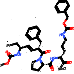 COC(=O)[C@@H](CCCNC(=O)OCc1ccccc1)NC(=O)[C@@H]1CCCN1C(=O)[C@H](/C=C/[C@H](CC(C)C)NC(=O)OC(C)(C)C)Cc1ccccc1